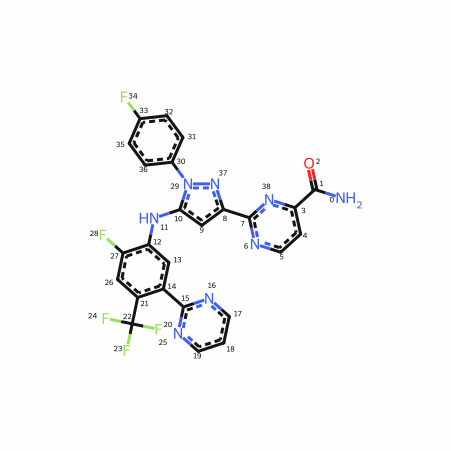 NC(=O)c1ccnc(-c2cc(Nc3cc(-c4ncccn4)c(C(F)(F)F)cc3F)n(-c3ccc(F)cc3)n2)n1